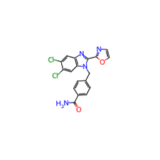 NC(=O)c1ccc(Cn2c(-c3ncco3)nc3cc(Cl)c(Cl)cc32)cc1